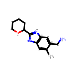 Cc1cc2[nH]c(C3CCCCO3)nc2cc1CN